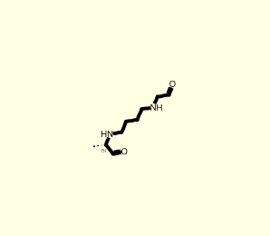 C[C@@H](C=O)NCCCCNCC=O